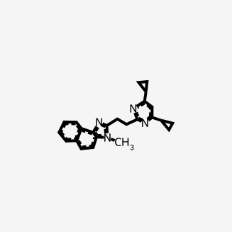 Cn1c(CCc2nc(C3CC3)cc(C3CC3)n2)nc2c3ccccc3ccc21